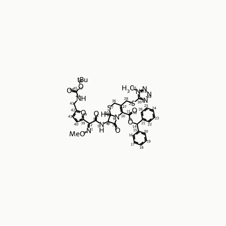 CON=C(C(=O)N[C@@H]1C(=O)N2C(C(=O)OC(c3ccccc3)c3ccccc3)=C(CSc3nnnn3C)CS[C@@H]12)c1ccc(CNC(=O)OC(C)(C)C)o1